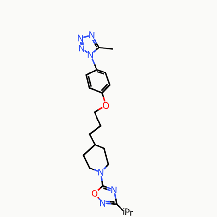 Cc1nnnn1-c1ccc(OCCCC2CCN(c3nc(C(C)C)no3)CC2)cc1